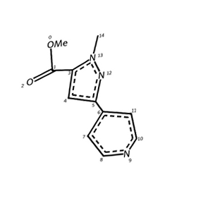 COC(=O)c1cc(-c2ccncc2)nn1C